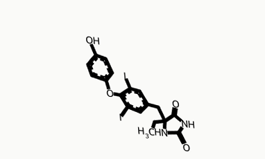 CCC1(Cc2cc(I)c(Oc3ccc(O)cc3)c(I)c2)NC(=O)NC1=O